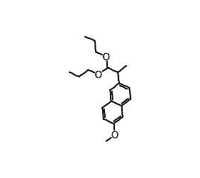 CCCOC(OCCC)C(C)c1ccc2cc(OC)ccc2c1